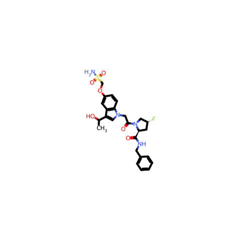 CC(O)c1cn(CC(=O)N2C[C@H](F)C[C@H]2C(=O)NCc2ccccc2)c2ccc(OCS(N)(=O)=O)cc12